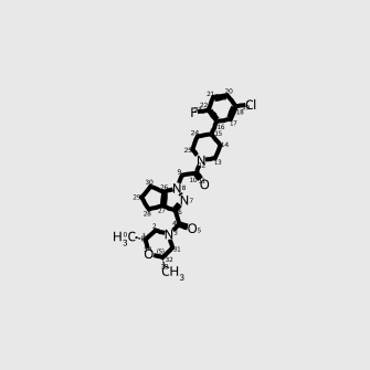 C[C@@H]1CN(C(=O)c2nn(CC(=O)N3CCC(c4cc(Cl)ccc4F)CC3)c3c2CCC3)C[C@H](C)O1